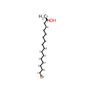 C=C(O)CCCCCCCCCCCCCCCBr